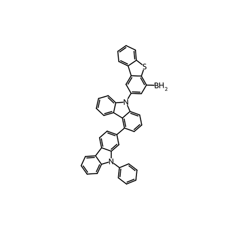 Bc1cc(-n2c3ccccc3c3c(-c4ccc5c6ccccc6n(-c6ccccc6)c5c4)cccc32)cc2c1sc1ccccc12